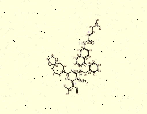 C=C/C(=C1/N=C(N2CCCC3(CC2)OCCO3)N=C(NCc2ccccc2-c2nccc3cc(NC(=O)/C=C/CN(C)C)ccc23)N1N)C(C)C